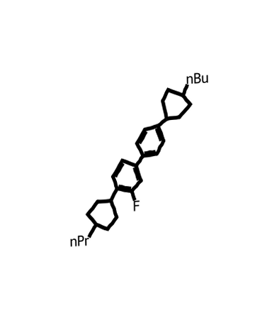 CCCCC1CCC(c2ccc(-c3ccc(C4CCC(CCC)CC4)c(F)c3)cc2)CC1